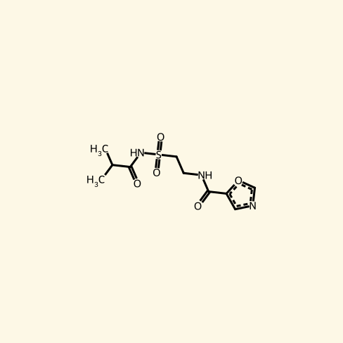 CC(C)C(=O)NS(=O)(=O)CCNC(=O)c1cnco1